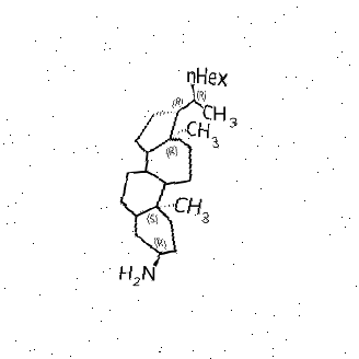 CCCCCC[C@@H](C)[C@H]1CCC2C3CCC4C[C@H](N)CC[C@]4(C)C3CC[C@@]21C